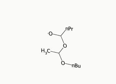 CCCCOC(C)OC([O])CCC